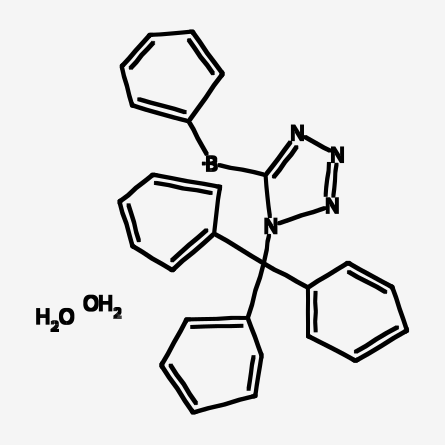 O.O.[B](c1ccccc1)c1nnnn1C(c1ccccc1)(c1ccccc1)c1ccccc1